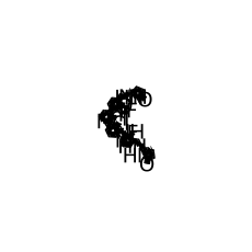 O=C1CC[C@@H](CNCc2ccc(-c3ccnc(-c4cccc(Nc5nccc(CNC[C@@H]6CCC(=O)N6)c5F)c4Cl)c3Cl)nc2OC(F)F)N1